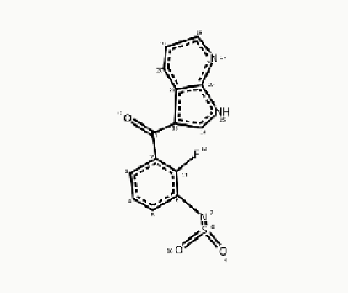 O=C(c1cccc(N=S(=O)=O)c1F)c1c[nH]c2ncccc12